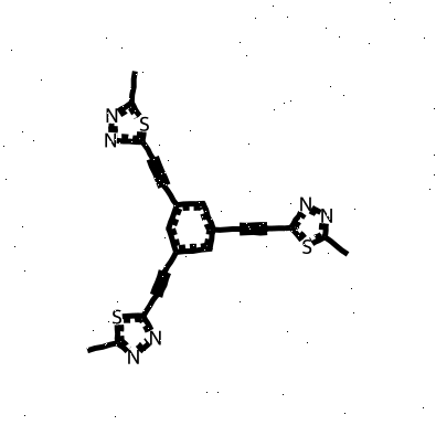 Cc1nnc(C#Cc2cc(C#Cc3nnc(C)s3)cc(C#Cc3nnc(C)s3)c2)s1